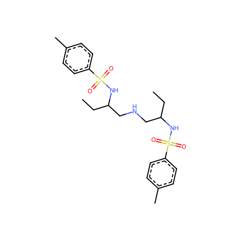 CCC(CNCC(CC)NS(=O)(=O)c1ccc(C)cc1)NS(=O)(=O)c1ccc(C)cc1